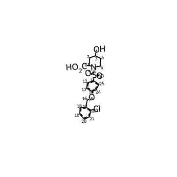 O=C(O)C1CC(O)CCN1S(=O)(=O)c1ccc(OCc2ccccc2Cl)cc1